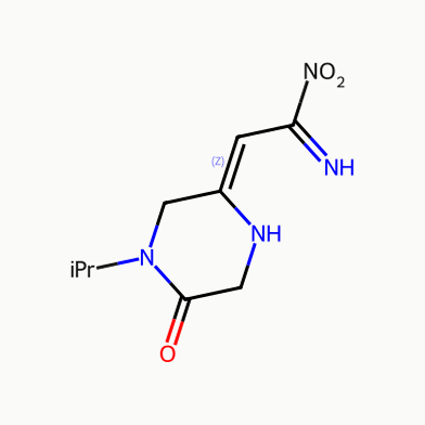 CC(C)N1C/C(=C/C(=N)[N+](=O)[O-])NCC1=O